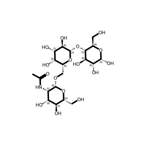 CC(=O)N[C@@H]1[C@H](OC[C@H]2O[C@@H](O[C@H]3[C@H](O)[C@@H](O)[C@@H](O)O[C@@H]3CO)[C@H](O)[C@@H](O)[C@H]2O)O[C@H](CO)[C@@H](O)[C@@H]1O